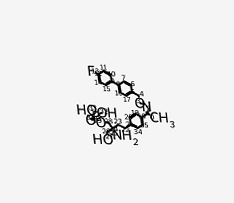 CC(=NOCc1ccc(-c2ccc(F)cc2)cc1)c1ccc(CCC(N)(CO)COP(=O)(O)O)cc1